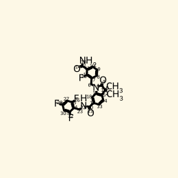 CC1(C)C(=O)N(Cc2cccc(C(N)=O)c2F)c2cc(C(=O)NCc3c(F)cc(F)cc3F)ccc21